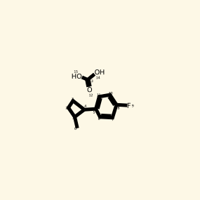 CC1CCC1c1ccc(F)cc1.O=C(O)O